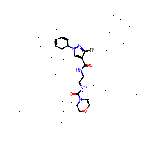 O=C(NCCNC(=O)N1CCOCC1)c1cn(C2C=CC=CC2)nc1C(F)(F)F